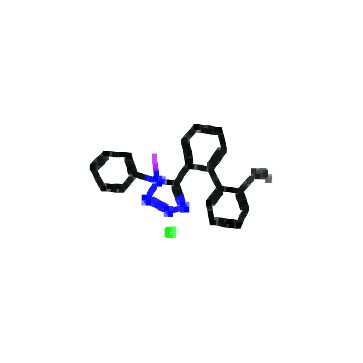 O=[N+]([O-])c1ccccc1-c1ccccc1C1=NN=N[N+]1(I)c1ccccc1.[Cl-]